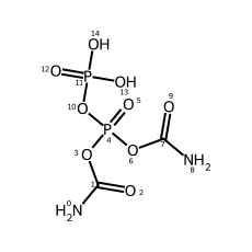 NC(=O)OP(=O)(OC(N)=O)OP(=O)(O)O